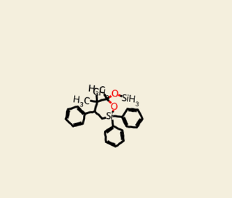 CC1(O[SiH3])O[Si](c2ccccc2)(c2ccccc2)CC(c2ccccc2)C1(C)C